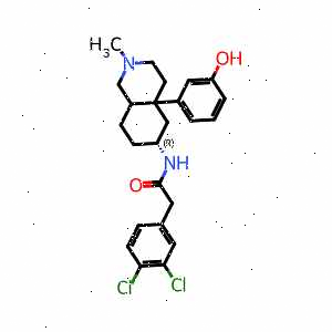 CN1CCC2(c3cccc(O)c3)C[C@H](NC(=O)Cc3ccc(Cl)c(Cl)c3)CCC2C1